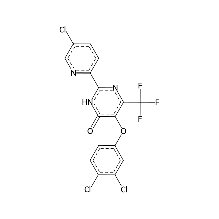 O=c1[nH]c(-c2ccc(Cl)cn2)nc(C(F)(F)F)c1Oc1ccc(Cl)c(Cl)c1